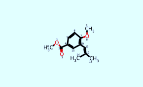 COC(=O)c1ccc(OC)c(C=C(C)C)c1